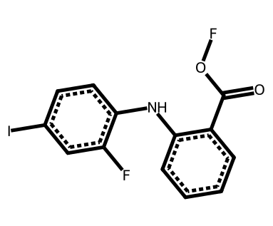 O=C(OF)c1ccccc1Nc1ccc(I)cc1F